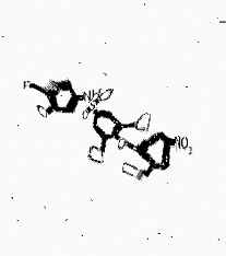 O=[N+]([O-])c1ccc(Oc2c(Cl)cc(S(=O)(=O)Nc3ccc(F)c(Cl)c3)cc2Cl)c(Cl)c1